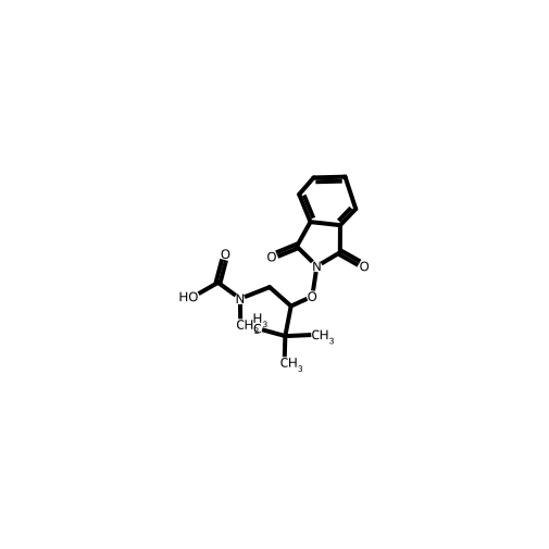 CN(CC(ON1C(=O)c2ccccc2C1=O)C(C)(C)C)C(=O)O